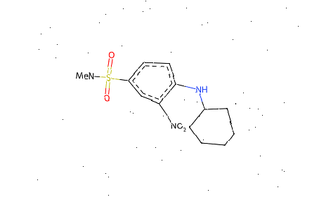 CNS(=O)(=O)c1ccc(NC2CCCCC2)c([N+](=O)[O-])c1